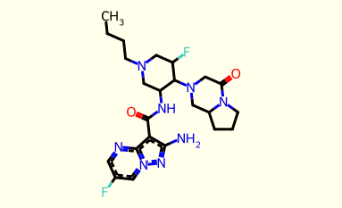 CCCCN1CC(F)C(N2CC(=O)N3CCCC3C2)C(NC(=O)c2c(N)nn3cc(F)cnc23)C1